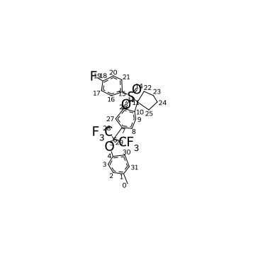 Cc1ccc(OC(c2ccc(C3(S(=O)(=O)c4ccc(F)cc4)CCCC3)cc2)(C(F)(F)F)C(F)(F)F)cc1